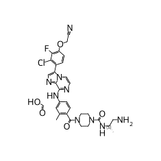 Cc1cc(Nc2nccn3c(-c4ccc(OCC#N)c(F)c4Cl)cnc23)ccc1C(=O)N1CCN(C(=O)N[C@@H](C)CN)CC1.O=CO